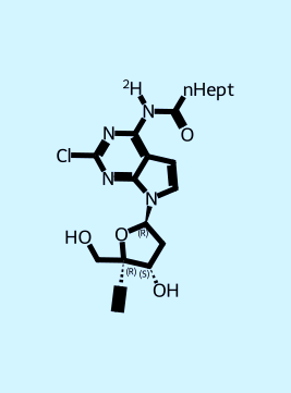 [2H]N(C(=O)CCCCCCC)c1nc(Cl)nc2c1ccn2[C@H]1C[C@H](O)[C@@](C#C)(CO)O1